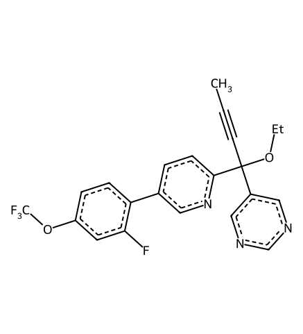 CC#CC(OCC)(c1cncnc1)c1ccc(-c2ccc(OC(F)(F)F)cc2F)cn1